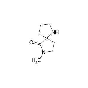 CN1CCC2(CCCN2)C1=O